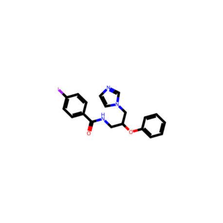 O=C(NCC(Cn1ccnc1)Oc1ccccc1)c1ccc(I)cc1